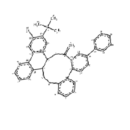 C=C1CC2C(CCc3ncccc3-c3ccc(-c4ccccc4)c[n+]31)c1cccnc1-c1cc(CC)c([Si](C)(C)C)c[n+]12